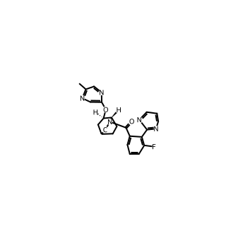 Cc1cnc(O[C@@H]2CC3CC[C@@H]2N(C(=O)c2cccc(F)c2-c2ncccn2)C3)cn1